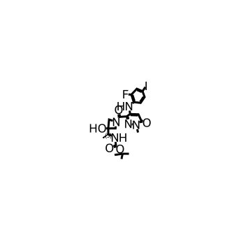 C[C@H](NC(=O)OC(C)(C)C)C1(O)CN(C(=O)c2nn(C)c(=O)cc2Nc2ccc(I)cc2F)C1